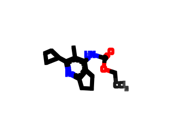 Cc1c(C2CCC2)nc2c(c1NC(=O)OCC(Cl)(Cl)Cl)CCC2